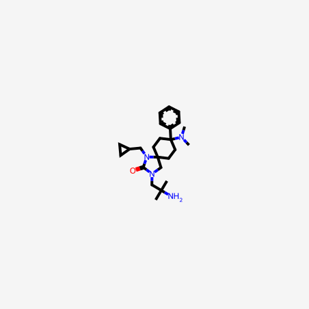 CN(C)C1(c2ccccc2)CCC2(CC1)CN(CC(C)(C)N)C(=O)N2CC1CC1